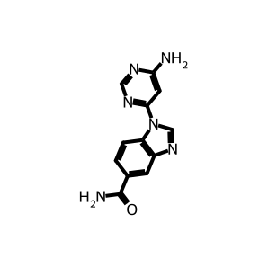 NC(=O)c1ccc2c(c1)ncn2-c1cc(N)ncn1